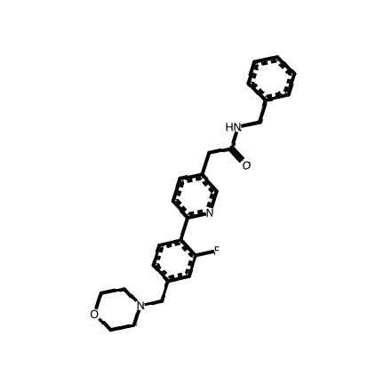 O=C(Cc1ccc(-c2ccc(CN3CCOCC3)cc2F)nc1)NCc1ccccc1